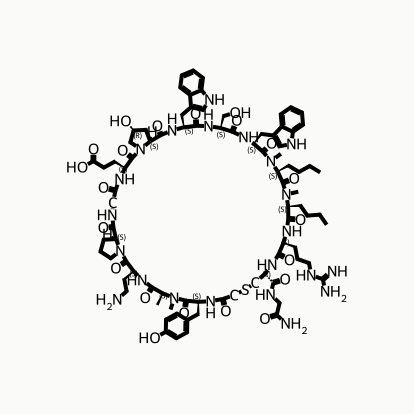 CCCC[C@H]1C(=O)N(C)[C@@H](CCCC)C(=O)N[C@@H](CCCNC(=N)N)C(=O)N[C@H](C(=O)NCC(N)=O)CSCC(=O)N[C@@H](Cc2ccc(O)cc2)C(=O)N(C)[C@@H](C)C(=O)N[C@@H](CCN)C(=O)N2CCC[C@H]2C(=O)NCC(=O)N[C@@H](CCC(=O)O)C(=O)N2C[C@H](O)C[C@H]2C(=O)N[C@@H](Cc2c[nH]c3ccccc23)C(=O)N[C@@H](CO)C(=O)N[C@@H](Cc2c[nH]c3ccccc23)C(=O)N1C